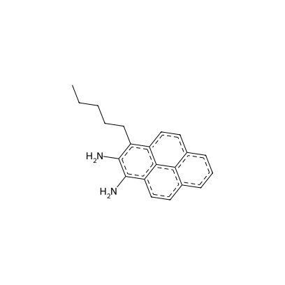 CCCCCc1c(N)c(N)c2ccc3cccc4ccc1c2c34